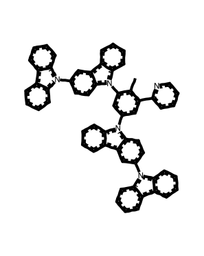 Cc1c(-c2ccccn2)cc(-n2c3ccccc3c3cc(-n4c5ccccc5c5ccccc54)ccc32)cc1-n1c2ccccc2c2cc(-n3c4ccccc4c4ccccc43)ccc21